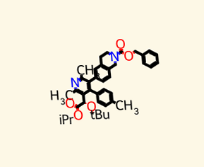 Cc1ccc(-c2c(-c3ccc4c(c3)CCN(C(=O)OCc3ccccc3)C4)c(C)nc(C)c2[C@H](OC(C)(C)C)C(=O)OC(C)C)cc1